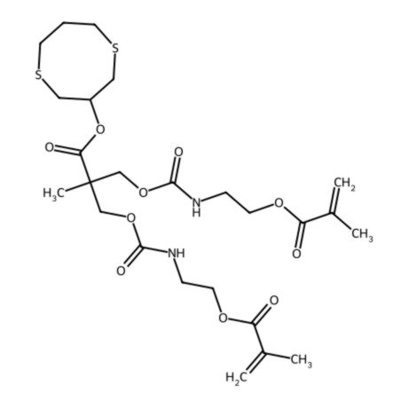 C=C(C)C(=O)OCCNC(=O)OCC(C)(COC(=O)NCCOC(=O)C(=C)C)C(=O)OC1CSCCCSC1